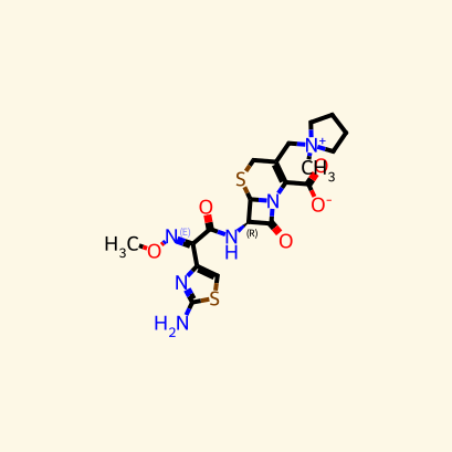 CO/N=C(/C(=O)N[C@@H]1C(=O)N2C(C(=O)[O-])=C(C[N+]3(C)CCCC3)CSC12)c1csc(N)n1